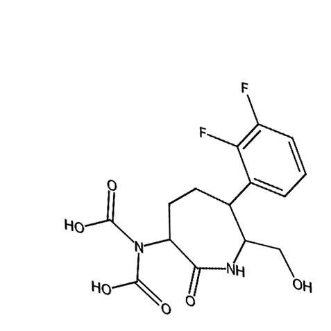 O=C1NC(CO)C(c2cccc(F)c2F)CCC1N(C(=O)O)C(=O)O